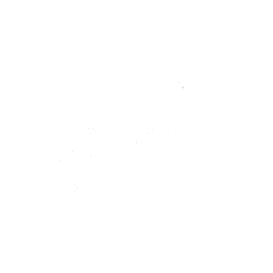 CC(C)(C)c1cc(F)c(CC(=O)Nc2ccnc(C(=O)NC3(C#N)CC3)c2)cc1O